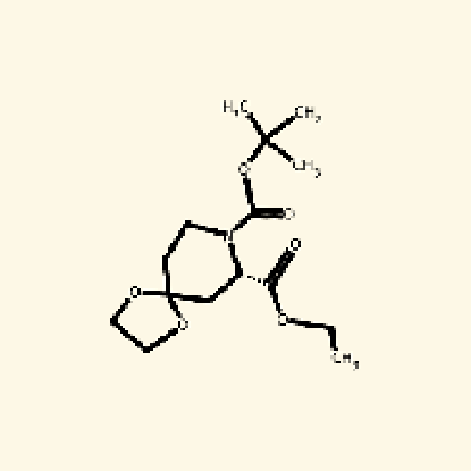 CCOC(=O)[C@@H]1CC2(CCN1C(=O)OC(C)(C)C)OCCO2